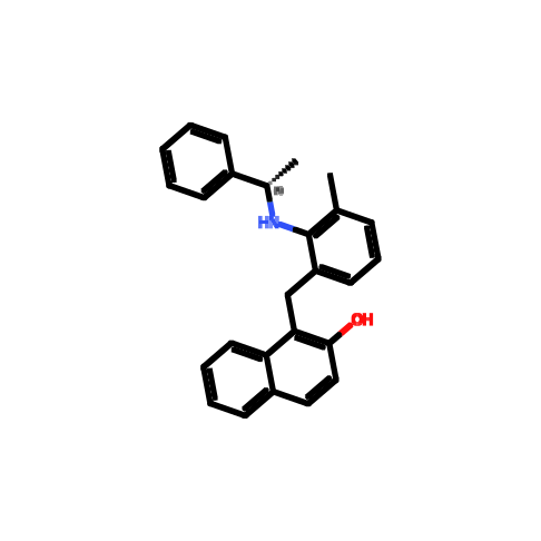 Cc1cccc(Cc2c(O)ccc3ccccc23)c1N[C@@H](C)c1ccccc1